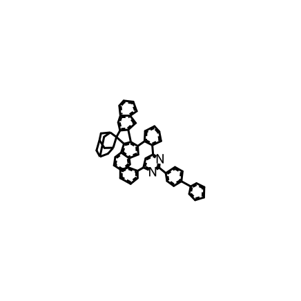 c1ccc(-c2ccc(-c3nc(-c4ccccc4)cc(-c4ccccc4-c4cc5ccccc5c5c4-c4cc6ccccc6cc4C54C5CC6CC(C5)CC4C6)n3)cc2)cc1